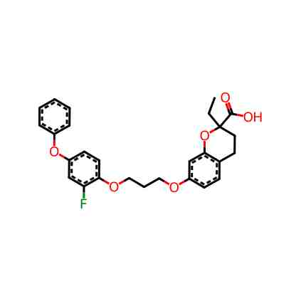 CCC1(C(=O)O)CCc2ccc(OCCCOc3ccc(Oc4ccccc4)cc3F)cc2O1